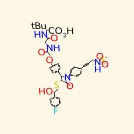 CC(C)(C)[C@@H](NC(=O)CNC(=O)COc1ccc([C@@H]2[C@@H](SC[C@H](O)c3ccc(F)cc3)C(=O)N2c2ccc(C#CCNS(C)(=O)=O)cc2)cc1)C(=O)O